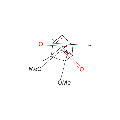 COC1=C(OC)C(=O)C23CC=CC(C)(C2)C3C1=O